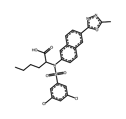 CCCCC(C(=O)O)N(c1ccc2cc(-c3nnc(C)o3)ccc2c1)S(=O)(=O)c1cc(Cl)cc(Cl)c1